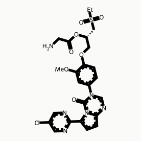 CCS(=O)(=O)C[C@H](COc1ccc(-n2cnc3ccc(-c4ncc(Cl)cn4)n3c2=O)cc1OC)OC(=O)CN